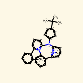 Cc1ccccc1-c1cccc2[n+]1-c1ccccc1-c1cccc([n+]1C)N2c1ccc(C(C)(C)C)cc1